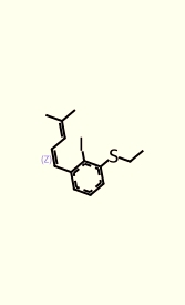 CCSc1cccc(/C=C\C=C(C)C)c1I